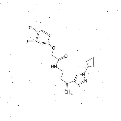 C=C(CCNC(=O)COc1ccc(Cl)c(F)c1)c1cn(C2CCC2)nn1